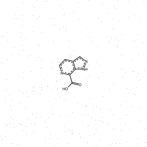 O=C(O)c1nccc2cn[nH]c12